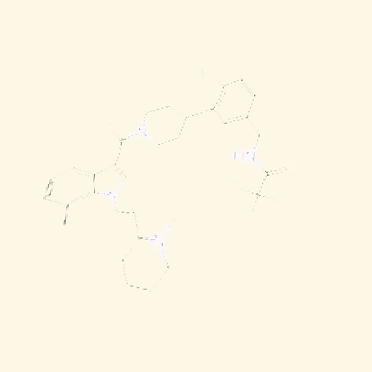 Cc1cccc2c(C(=O)N3CCC(c4cc(CNC(=O)C(F)(F)F)ccc4F)CC3)cn(CCC3CCCCN3C)c12